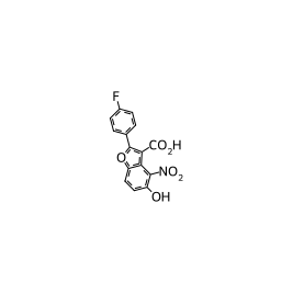 O=C(O)c1c(-c2ccc(F)cc2)oc2ccc(O)c([N+](=O)[O-])c12